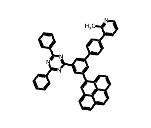 Cc1ncccc1-c1ccc(-c2cc(-c3nc(-c4ccccc4)nc(-c4ccccc4)n3)cc(-c3cc4cccc5ccc6cccc3c6c54)c2)cc1